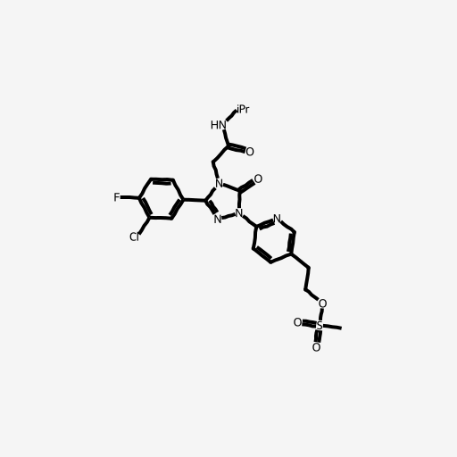 CC(C)NC(=O)Cn1c(-c2ccc(F)c(Cl)c2)nn(-c2ccc(CCOS(C)(=O)=O)cn2)c1=O